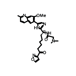 COc1cc2nc(C)ccc2cc1-c1cnc([C@H](CCCCCC(=O)c2ccon2)NC(=O)CN(C)C)[nH]1